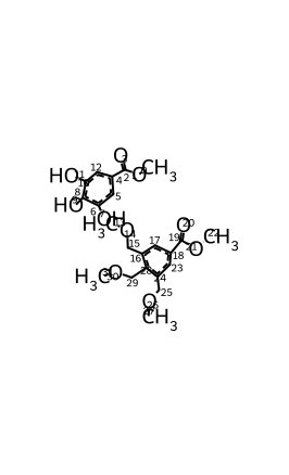 COC(=O)c1cc(O)c(O)c(O)c1.COCc1cc(C(=O)OC)cc(COC)c1COC